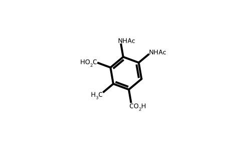 CC(=O)Nc1cc(C(=O)O)c(C)c(C(=O)O)c1NC(C)=O